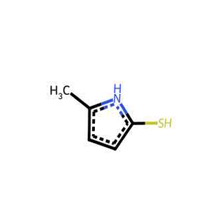 Cc1ccc(S)[nH]1